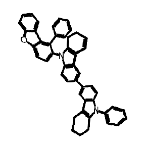 C1=Cc2c(n(-c3ccc4oc5ccccc5c4c3-c3ccccc3)c3ccc(-c4ccc5c(c4)c4c(n5-c5ccccc5)CCCC4)cc23)CC1